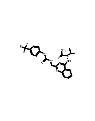 CC(C)[C@H](Nc1nc(CNC(=O)Nc2ccc(C(F)(F)F)cc2)nc2ccccc12)C(N)=O